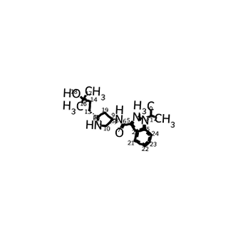 CC(C)n1nc(C(=O)N[C@@H]2CN[C@H](CCC(C)(C)O)C2)c2ccccc21